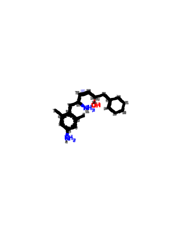 Cc1cc(N)cc(C)c1CC(N)/C=C\[C@@H](O)CC1CCCCC1